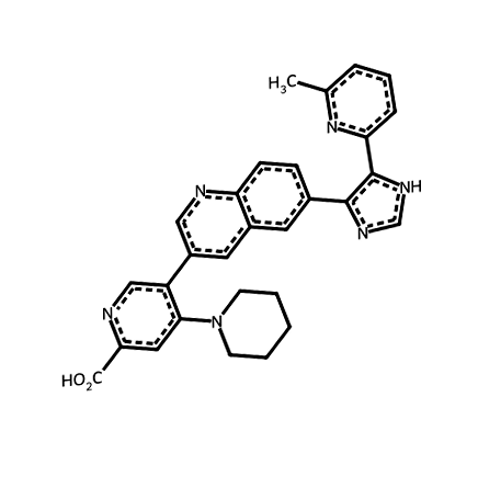 Cc1cccc(-c2[nH]cnc2-c2ccc3ncc(-c4cnc(C(=O)O)cc4N4CCCCC4)cc3c2)n1